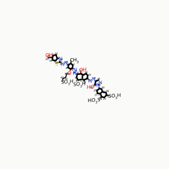 Cc1cc(N=Nc2ccc3c(S(=O)(=O)O)c(N=Nc4cnn(-c5ccc6c(S(=O)(=O)O)cc(S(=O)(=O)O)cc6c5)c4O)ccc3c2O)c(OCCCS(=O)(=O)O)cc1N=Nc1nc2ccc(CO)cc2s1